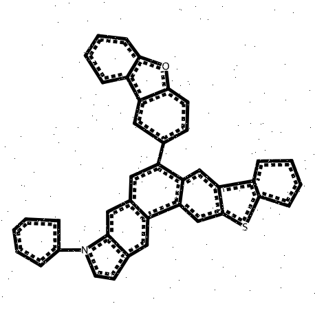 c1ccc(-n2ccc3cc4c(cc(-c5ccc6oc7ccccc7c6c5)c5cc6c(cc54)sc4ccccc46)cc32)cc1